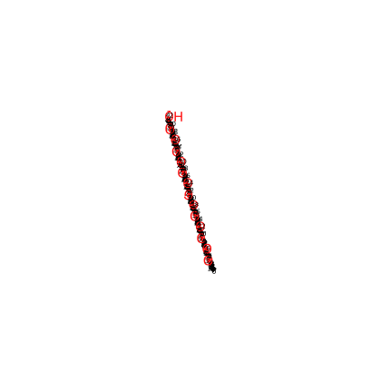 C=CCOCCOCCOCCOCCOCCOCCOCCOCCOCCOCCOCCOCCOCCO